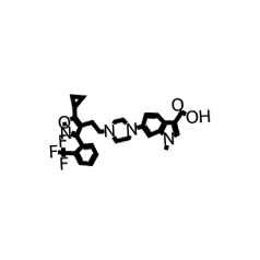 Cn1cc(C(=O)O)c2ccc(N3CCN(CCc4c(-c5ccccc5C(F)(F)F)noc4C4CC4)CC3)cc21